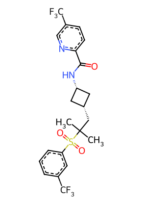 CC(C)(C[C@H]1C[C@@H](NC(=O)c2ccc(C(F)(F)F)cn2)C1)S(=O)(=O)c1cccc(C(F)(F)F)c1